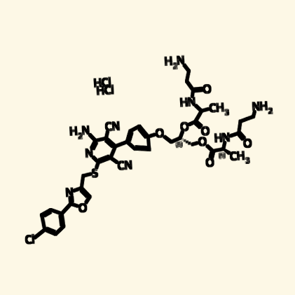 CC(NC(=O)CCN)C(=O)O[C@H](COC(=O)[C@H](C)NC(=O)CCN)COc1ccc(-c2c(C#N)c(N)nc(SCc3coc(-c4ccc(Cl)cc4)n3)c2C#N)cc1.Cl.Cl